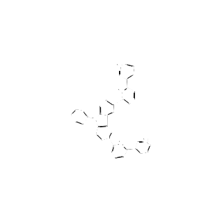 c1ccc(-n2c3ccc(-c4cccc(-c5cccnc5)n4)cc3c3cc(-c4cccc(-c5cccnc5)n4)ccc32)cc1